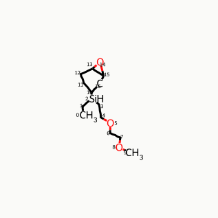 CC[SiH](CCOCCOC)C1CCC2OC2C1